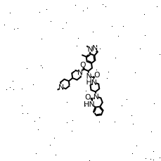 Cc1cc(CC(NC(=O)N2CCC(N3CCc4ccccc4NC3=O)CC2)C(=O)N2CCC(C3CCN(C)CC3)CC2)cc2cnn(C)c12